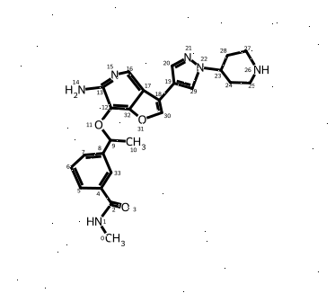 CNC(=O)c1cccc(C(C)Oc2c(N)ncc3c(-c4cnn(C5CCNCC5)c4)coc23)c1